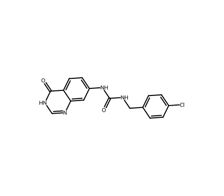 O=C(NCc1ccc(Cl)cc1)Nc1ccc2c(=O)[nH]cnc2c1